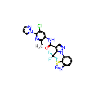 Cc1nc(-n2cccn2)c(Cl)cc1NC(=O)c1cnn(-c2cccc3nnsc23)c1C(F)(F)F